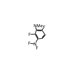 CNc1c(F)ccc(N(F)F)c1F